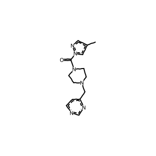 Cc1cnn(C(=O)N2CCN(Cc3ccncn3)CC2)c1